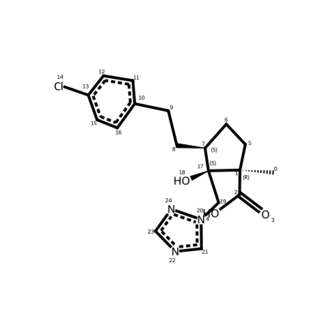 C[C@@]1(C(=O)O)CC[C@H](CCc2ccc(Cl)cc2)[C@@]1(O)Cn1cncn1